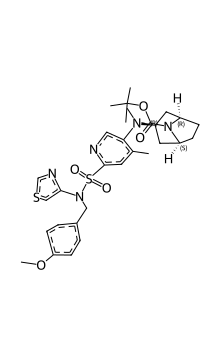 COc1ccc(CN(c2cscn2)S(=O)(=O)c2cc(C)c(N(C)[C@H]3C[C@H]4CC[C@@H](C3)N4C(=O)OC(C)(C)C)cn2)cc1